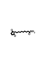 NC(=O)CCCCCCCCCN1C(=O)C=CC1=O